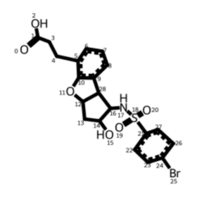 O=C(O)CCc1cccc2c1OC1CC(O)C(NS(=O)(=O)c3ccc(Br)cc3)C21